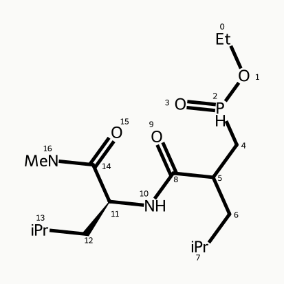 CCO[PH](=O)CC(CC(C)C)C(=O)N[C@@H](CC(C)C)C(=O)NC